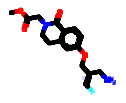 COC(=O)CN1CCc2cc(OC/C(=C/F)CN)ccc2C1=O